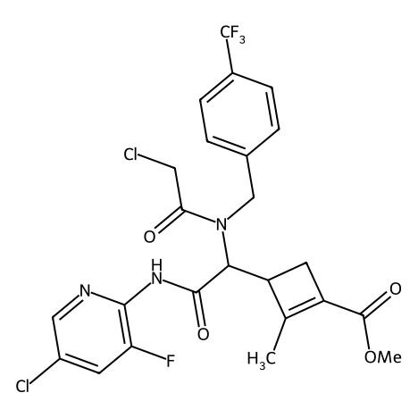 COC(=O)C1=C(C)C(C(C(=O)Nc2ncc(Cl)cc2F)N(Cc2ccc(C(F)(F)F)cc2)C(=O)CCl)C1